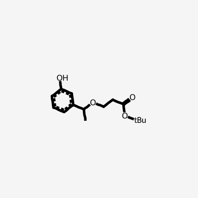 CC(OCCC(=O)OC(C)(C)C)c1cccc(O)c1